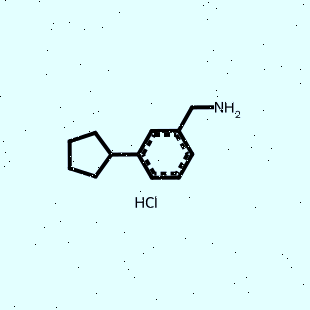 Cl.NCc1cccc(C2CCCC2)c1